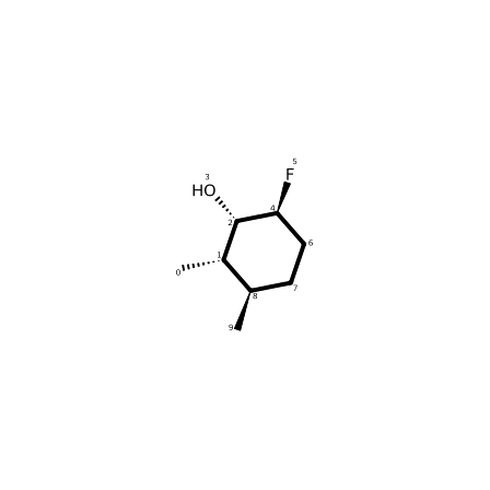 C[C@@H]1[C@H](O)[C@@H](F)CC[C@H]1C